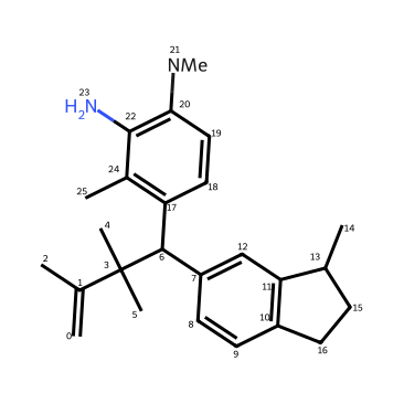 C=C(C)C(C)(C)C(c1ccc2c(c1)C(C)CC2)c1ccc(NC)c(N)c1C